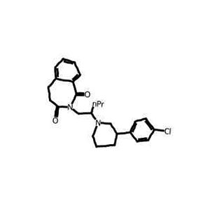 CCCC(CN1C(=O)CCc2ccccc2C1=O)N1CCCC(c2ccc(Cl)cc2)C1